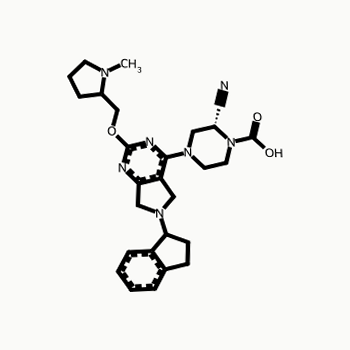 CN1CCCC1COc1nc2c(c(N3CCN(C(=O)O)[C@@H](C#N)C3)n1)CN(C1CCc3ccccc31)C2